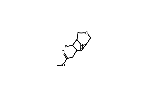 COC(=O)CC1CC2COCC(N2)C1F